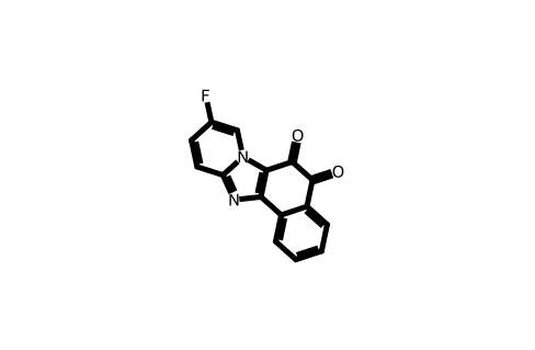 O=C1C(=O)c2c(nc3ccc(F)cn23)-c2ccccc21